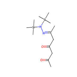 CC(=O)CC(=O)CC(C)=NN([Si](C)(C)C)[Si](C)(C)C